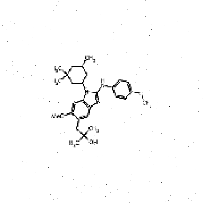 COc1cc2c(cc1CC(C)(C)O)nc(Nc1ccc(OC(F)(F)F)cc1)n2[C@@H]1C[C@H](C)CC(C)(C)C1